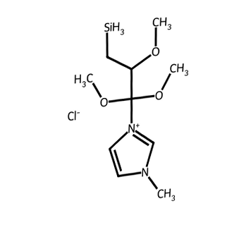 COC(C[SiH3])C(OC)(OC)[n+]1ccn(C)c1.[Cl-]